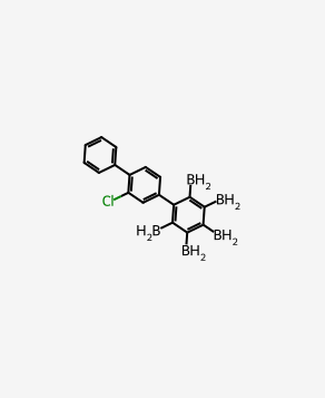 Bc1c(B)c(B)c(-c2ccc(-c3ccccc3)c(Cl)c2)c(B)c1B